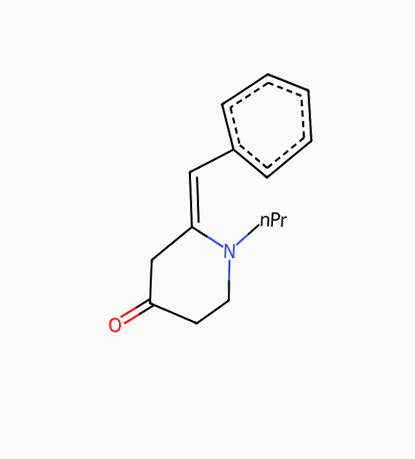 CCCN1CCC(=O)CC1=Cc1ccccc1